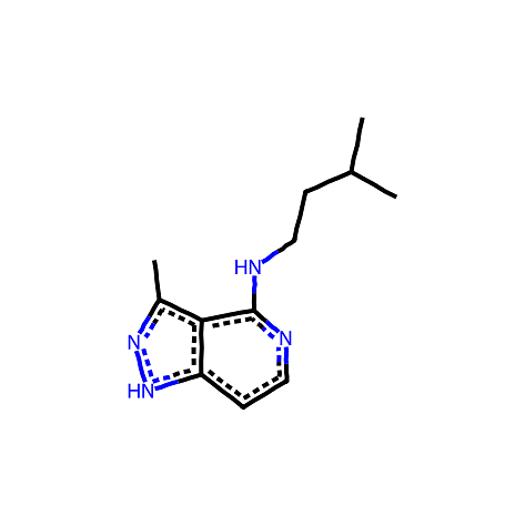 Cc1n[nH]c2ccnc(NCCC(C)C)c12